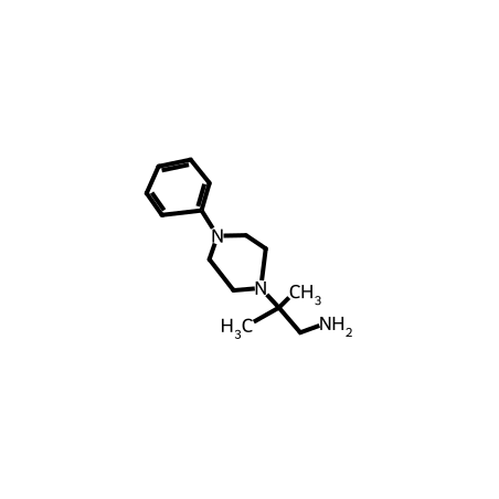 CC(C)(CN)N1CCN(c2ccccc2)CC1